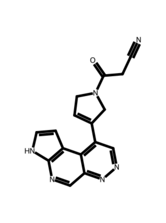 N#CCC(=O)N1CC=C(c2cnnc3cnc4[nH]ccc4c23)C1